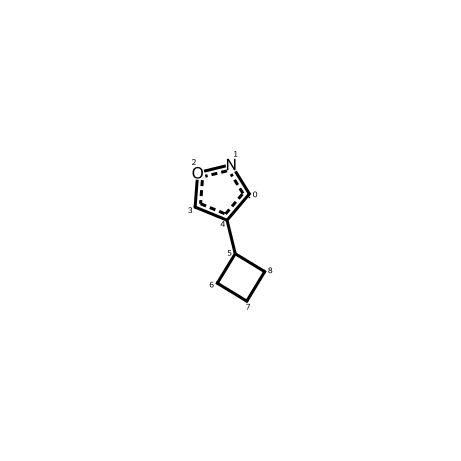 [c]1nocc1C1CCC1